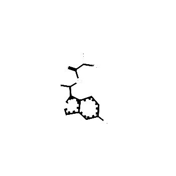 CC(NC(=O)[C@@H](N)C(C)C)c1occ2cc([N+](=O)[O-])ccc12